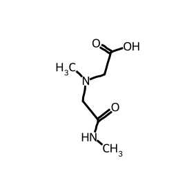 CNC(=O)CN(C)CC(=O)O